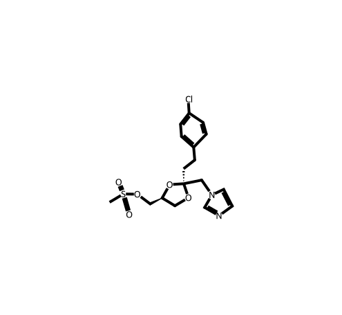 CS(=O)(=O)OC[C@@H]1CO[C@](CCc2ccc(Cl)cc2)(Cn2ccnc2)O1